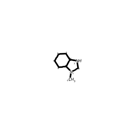 CN1CNC2CCCCC21